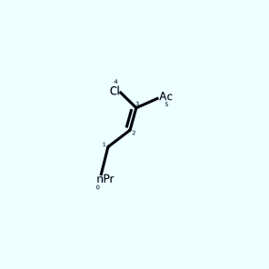 CCCCC=C(Cl)C(C)=O